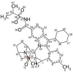 Cc1ccc2c(c1)C1CC1(C(=O)N1C3CCC1CN(C)C3)Cn1c-2c(C2CCCCC2)c2ccc(C(=O)NS(=O)(=O)C(C)C)cc21